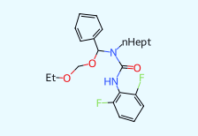 CCCCCCCN(C(=O)Nc1c(F)cccc1F)C(OCOCC)c1ccccc1